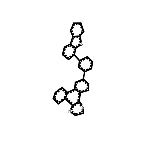 c1cc(-c2ccc3c(c2)c2ccccc2c2nccnc32)cc(-c2cccc3c2sc2ccccc23)c1